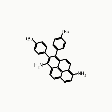 CC(C)(C)c1ccc(-c2c(N)c3ccc4ccc(N)c5ccc(c2-c2ccc(C(C)(C)C)cc2)c3c45)cc1